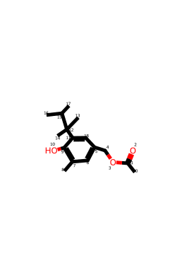 CC(=O)OCc1cc(C)c(O)c(C(C)(C)C(C)C)c1